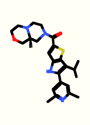 Cc1cc(-c2[nH]c3cc(C(=O)N4CCN5CCOC[C@H]5C4)sc3c2C(C)C)cc(C)n1